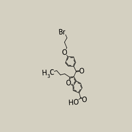 CCCCc1oc2cc(C(=O)O)ccc2c1C(=O)c1ccc(OCCCBr)cc1